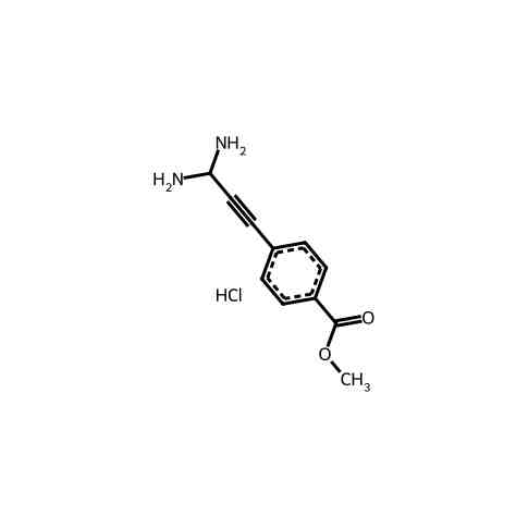 COC(=O)c1ccc(C#CC(N)N)cc1.Cl